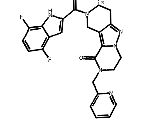 C[C@@H]1Cc2nn3c(c2CN1C(=O)c1cc2c(F)ccc(F)c2[nH]1)C(=O)N(Cc1ccccn1)CC3